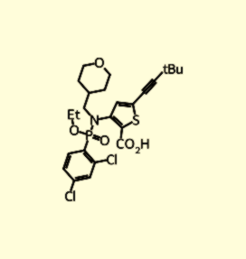 CCOP(=O)(c1ccc(Cl)cc1Cl)N(CC1CCOCC1)c1cc(C#CC(C)(C)C)sc1C(=O)O